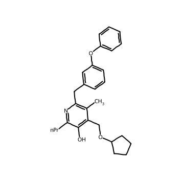 CCCc1nc(Cc2cccc(Oc3ccccc3)c2)c(C)c(COC2CCCC2)c1O